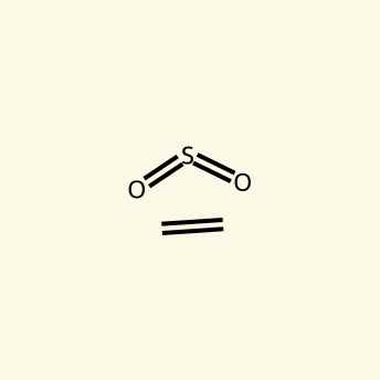 C=C.O=S=O